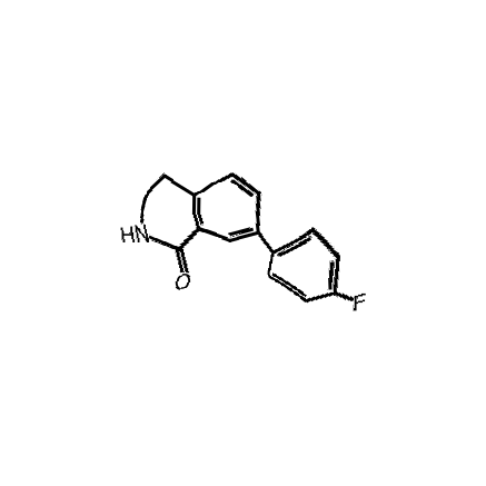 O=C1NCCc2ccc(-c3ccc(F)cc3)cc21